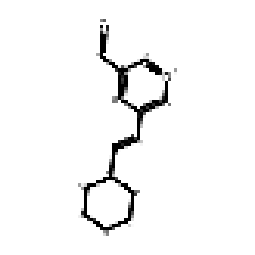 O=Cc1cncc(C=CC2CCCCC2)c1